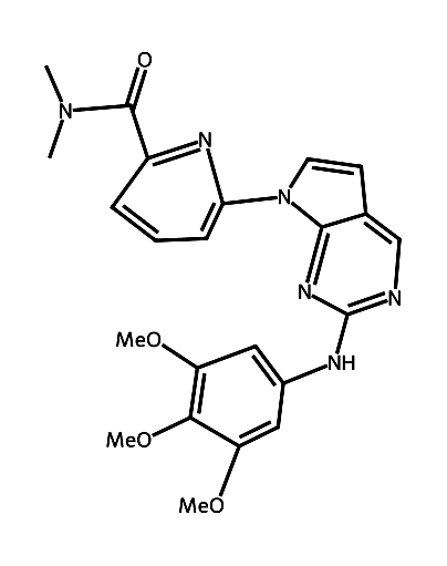 COc1cc(Nc2ncc3ccn(-c4cccc(C(=O)N(C)C)n4)c3n2)cc(OC)c1OC